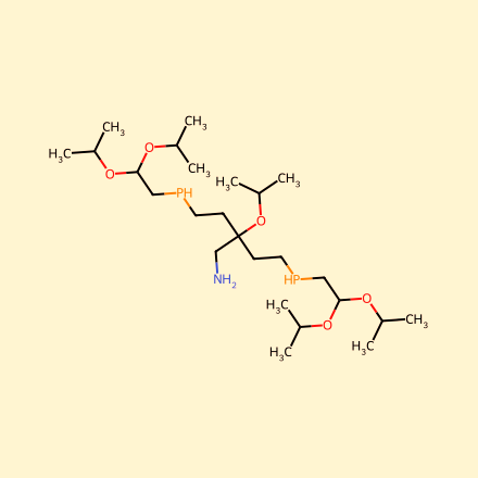 CC(C)OC(CPCCC(CN)(CCPCC(OC(C)C)OC(C)C)OC(C)C)OC(C)C